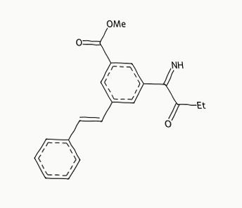 CCC(=O)C(=N)c1cc(/C=C/c2ccccc2)cc(C(=O)OC)c1